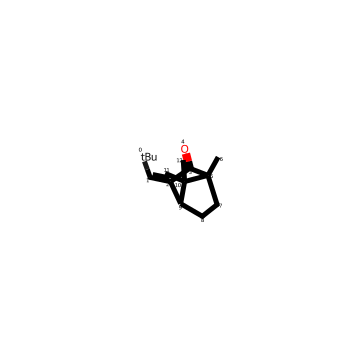 CC(C)(C)C=C1C(=O)C2(C)CCC1C2(C)C